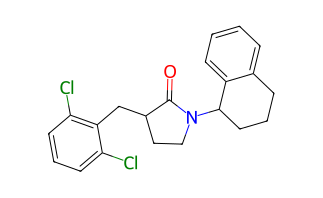 O=C1C(Cc2c(Cl)cccc2Cl)CCN1C1CCCc2ccccc21